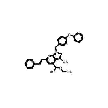 CCOC(O)c1cc(/C=C/c2ccccc2)nc2c1c(C)nn2Cc1ccc(Oc2ccccc2)cc1